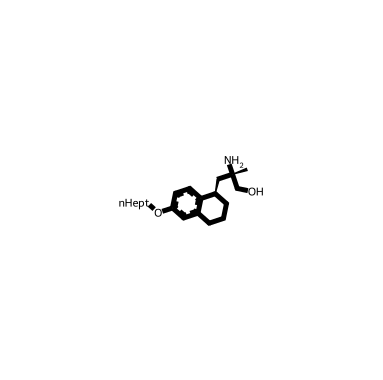 CCCCCCCOc1ccc2c(c1)CCC[C@@H]2C[C@](C)(N)CO